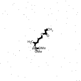 C=CC(=O)OCCCC(C)O[SiH](OC)OC